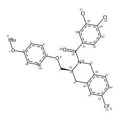 CC(C)(C)Oc1ccc(OC[C@@H]2Cc3cc(C(F)(F)F)ccc3CN2C(=O)c2ccc(Cl)c(Cl)c2)nc1